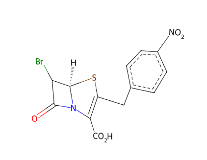 O=C(O)C1=C(Cc2ccc([N+](=O)[O-])cc2)S[C@@H]2C(Br)C(=O)N12